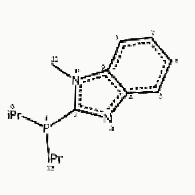 CC(C)P(c1nc2ccccc2n1C)C(C)C